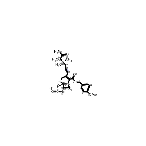 COc1ccc(COC(=O)C2=C(/C=C/C[N+](C)(C)[C@H](C)C(N)=O)CS[C@H]3[C@H](NC=O)C(=O)N23)cc1.[I-]